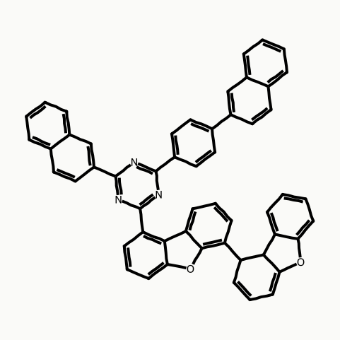 C1=CC(c2cccc3c2oc2cccc(-c4nc(-c5ccc(-c6ccc7ccccc7c6)cc5)nc(-c5ccc6ccccc6c5)n4)c23)C2C(=C1)Oc1ccccc12